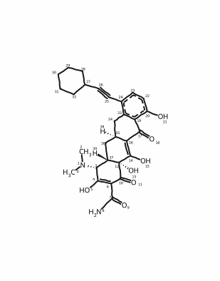 CN(C)[C@H]1C(O)=C(C(N)=O)C(=O)[C@]2(O)C(O)=C3C(=O)c4c(O)ccc(C#CC5CCCCC5)c4C[C@@H]3C[C@@H]12